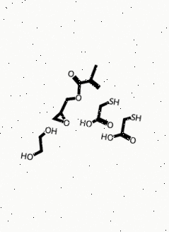 C=C(C)C(=O)OCC1CO1.O=C(O)CS.O=C(O)CS.OCCO